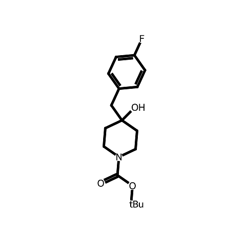 CC(C)(C)OC(=O)N1CCC(O)(Cc2ccc(F)cc2)CC1